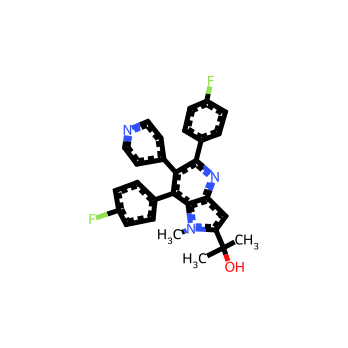 Cn1c(C(C)(C)O)cc2nc(-c3ccc(F)cc3)c(-c3ccncc3)c(-c3ccc(F)cc3)c21